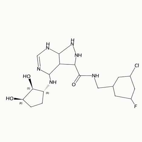 O=C(NCC1CC(F)CC(Cl)C1)C1NNC2NC=NC(N[C@@H]3CC[C@@H](O)[C@H]3O)C21